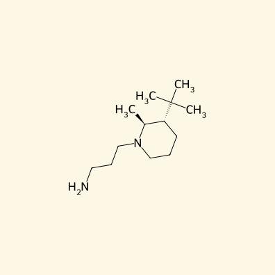 C[C@H]1[C@H](C(C)(C)C)CCCN1CCCN